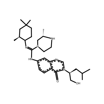 CC(C)C[C@@H](CO)n1cnc2cc(N/C(=N/C3CCC(C)(C)C[C@@H]3C)N3CCN[C@@H](C)C3)ccc2c1=O